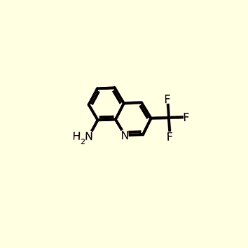 Nc1cccc2cc(C(F)(F)F)cnc12